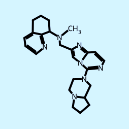 CN(Cc1cn2c(N3CCN4CCCC4C3)nccc2n1)C1CCCc2cccnc21